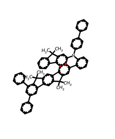 CC1(C)c2ccccc2-c2ccc(N(c3ccc(-c4ccccc4)cc3)c3ccccc3-c3ccc4c(c3)C(C)(C)c3cc5c(cc3-4)C(C)(C)c3c(-c4ccccc4)cc(-c4ccccc4)cc3-5)cc21